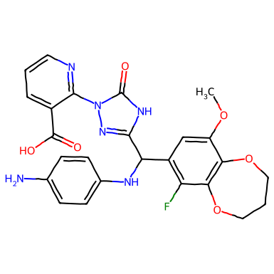 COc1cc(C(Nc2ccc(N)cc2)c2nn(-c3ncccc3C(=O)O)c(=O)[nH]2)c(F)c2c1OCCCO2